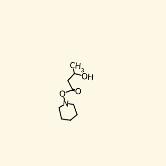 CC(O)CC(=O)ON1CCCCC1